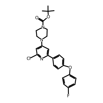 CC(C)(C)OC(=O)N1CCN(c2cc(Cl)nc(-c3ccc(Oc4ccc(F)cc4)cc3)c2)CC1